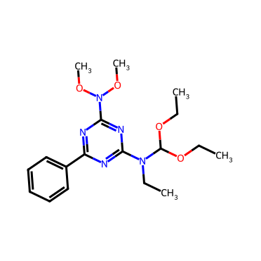 CCOC(OCC)N(CC)c1nc(-c2ccccc2)nc(N(OC)OC)n1